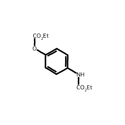 CCOC(=O)Nc1ccc(OC(=O)OCC)cc1